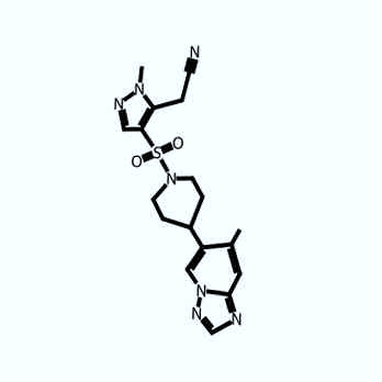 Cc1cc2ncnn2cc1C1CCN(S(=O)(=O)c2cnn(C)c2CC#N)CC1